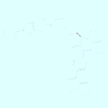 c1ccc(-c2nc3cc4c(cc3o2)oc2ccc(-c3ccc(N(c5ccc(-c6cccc7ccccc67)cc5)c5ccccc5-c5ccccc5)cc3)cc24)cc1